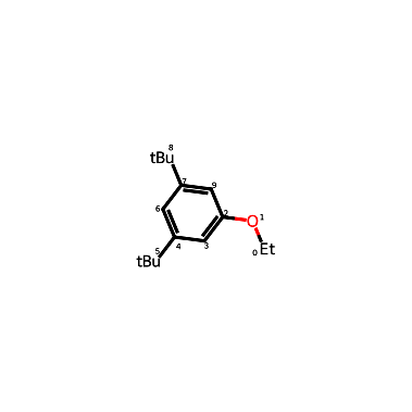 CCOc1cc(C(C)(C)C)cc(C(C)(C)C)c1